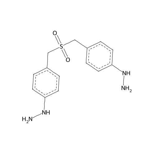 NNc1ccc(CS(=O)(=O)Cc2ccc(NN)cc2)cc1